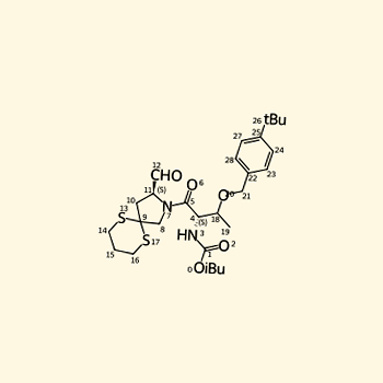 CC(C)COC(=O)N[C@H](C(=O)N1CC2(C[C@H]1C=O)SCCCS2)C(C)OCc1ccc(C(C)(C)C)cc1